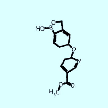 COC(=O)C1=CCC(OC2C=C3COB(O)C3=CC2)N=C1